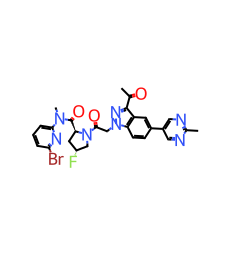 CC(=O)c1nn(CC(=O)N2C[C@H](F)C[C@H]2C(=O)N(C)c2cccc(Br)n2)c2ccc(-c3cnc(C)nc3)cc12